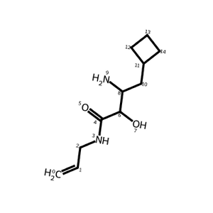 C=CCNC(=O)C(O)C(N)CC1CCC1